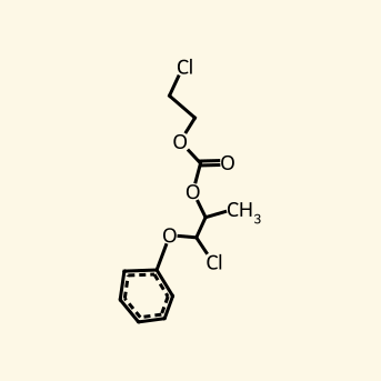 CC(OC(=O)OCCCl)C(Cl)Oc1ccccc1